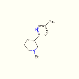 C=Cc1ccc(C2=CCCN(CC)C2)nc1